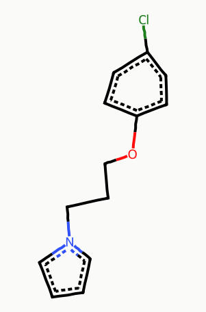 Clc1ccc(OCCCn2cccc2)cc1